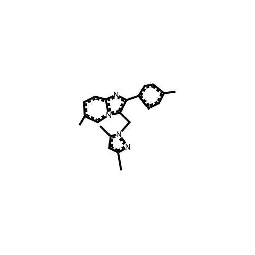 Cc1ccc(-c2nc3ccc(C)cn3c2Cn2nc(C)cc2C)cc1